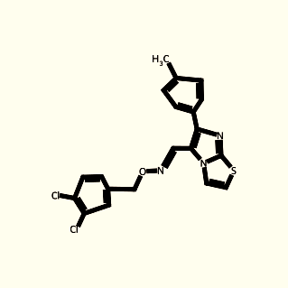 Cc1ccc(-c2nc3sccn3c2C=NOCc2ccc(Cl)c(Cl)c2)cc1